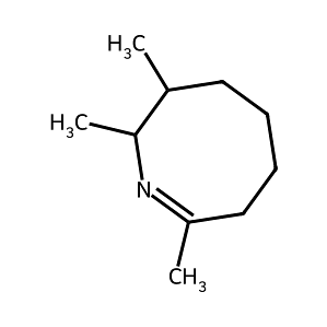 C/C1=N/C(C)C(C)CCCC1